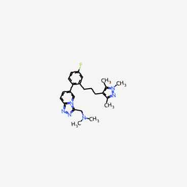 Cc1nn(C)c(C)c1CCCc1cc(F)ccc1-c1ccc2nnc(CN(C)C)n2c1